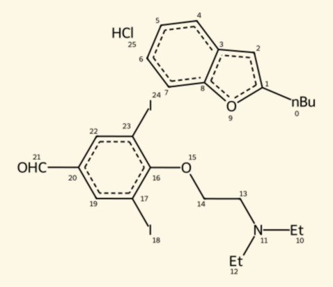 CCCCc1cc2ccccc2o1.CCN(CC)CCOc1c(I)cc(C=O)cc1I.Cl